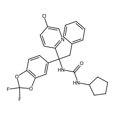 O=C(NC1CCCC1)NC(Cc1ccccc1)(c1ccc2c(c1)OC(F)(F)O2)c1ccc(Cl)cn1